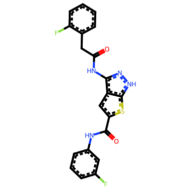 O=C(Cc1ccccc1F)Nc1n[nH]c2sc(C(=O)Nc3cccc(F)c3)cc12